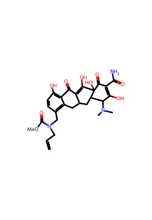 C=CCN(Cc1ccc(O)c2c1CC1CC3C(N(C)C)C(O)=C(C(N)=O)C(=O)C3(O)C(O)=C1C2=O)C(=O)OC